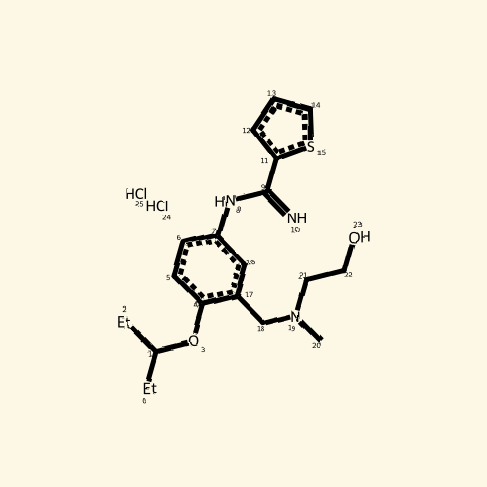 CCC(CC)Oc1ccc(NC(=N)c2cccs2)cc1CN(C)CCO.Cl.Cl